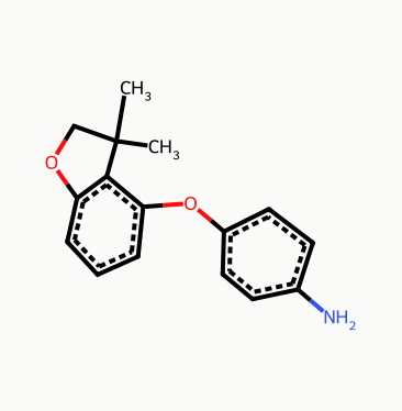 CC1(C)COc2cccc(Oc3ccc(N)cc3)c21